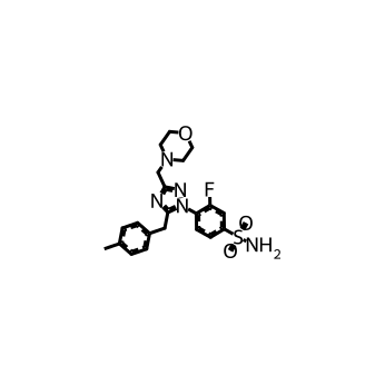 Cc1ccc(Cc2nc(CN3CCOCC3)nn2-c2ccc(S(N)(=O)=O)cc2F)cc1